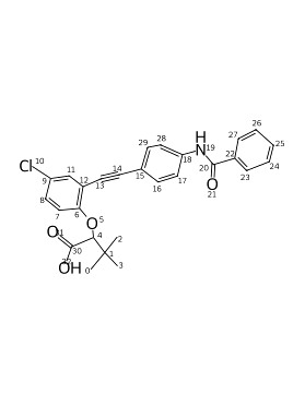 CC(C)(C)C(Oc1ccc(Cl)cc1C#Cc1ccc(NC(=O)c2ccccc2)cc1)C(=O)O